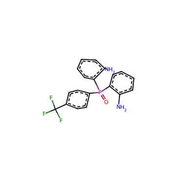 Nc1ccccc1P(=O)(c1ccc(C(F)(F)F)cc1)c1ccccc1N